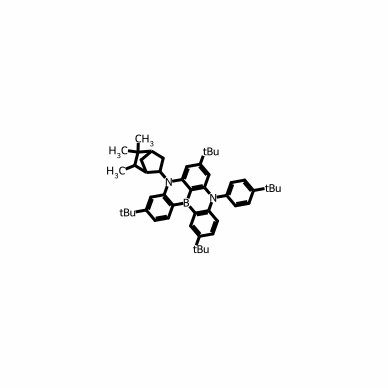 CC1C2CC(CC2N2c3cc(C(C)(C)C)ccc3B3c4cc(C(C)(C)C)ccc4N(c4ccc(C(C)(C)C)cc4)c4cc(C(C)(C)C)cc2c43)C1(C)C